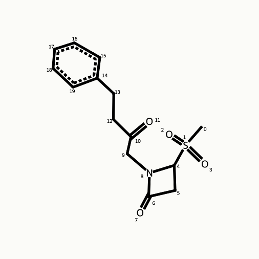 CS(=O)(=O)C1CC(=O)N1CC(=O)CCc1ccccc1